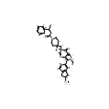 CC(CC(=O)N1CCC(O)(Cn2cnc3c(-c4ccc5c(c4)CC(N)C5)n(C)nc3c2=O)CC1)c1ccccc1